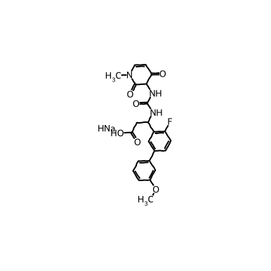 COc1cccc(-c2ccc(F)c(C(CC(=O)O)NC(=O)NC3C(=O)C=CN(C)C3=O)c2)c1.[NaH]